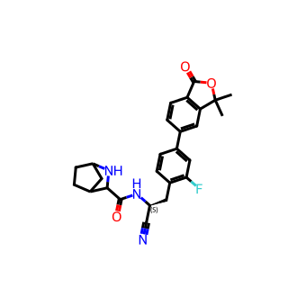 CC1(C)OC(=O)c2ccc(-c3ccc(C[C@@H](C#N)NC(=O)C4NC5CCC4C5)c(F)c3)cc21